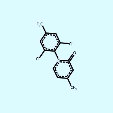 O=c1cc(C(F)(F)F)ccn1-c1c(Cl)cc(C(F)(F)F)cc1Cl